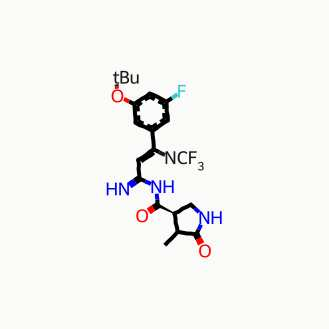 CC1C(=O)NC[C@@H]1C(=O)NC(=N)/C=C(\NC(F)(F)F)c1cc(F)cc(OC(C)(C)C)c1